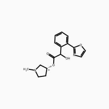 CN1CC[C@@H](OC(=O)C(O)c2ccccc2-c2ncco2)C1